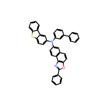 c1ccc(-c2cccc(N(c3ccc4c(ccc5oc(-c6ccccc6)nc54)c3)c3ccc4sc5ccccc5c4c3)c2)cc1